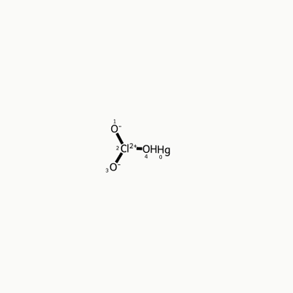 [Hg].[O-][Cl+2]([O-])O